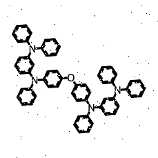 c1ccc(N(c2ccccc2)c2cccc(N(c3ccccc3)c3ccc(Oc4ccc(N(c5ccccc5)c5cccc(N(c6ccccc6)c6ccccc6)c5)cc4)cc3)c2)cc1